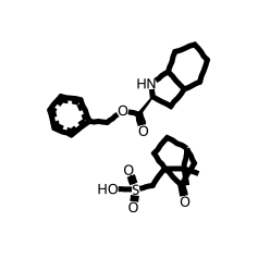 CC1(C)C2CCC1(CS(=O)(=O)O)C(=O)C2.O=C(OCc1ccccc1)[C@@H]1CC2CCCCC2N1